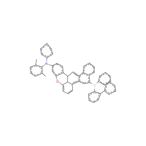 Cc1cccc(C)c1N(c1ccccc1)c1ccc2c(c1)OC1=CC=CC3=c4cc(B(c5ccccc5)c5ccccc5-c5ccccc5)c5ccccc5c4=CC2C13